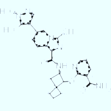 Cc1c(-c2ccc3c(C(=O)NC4CC5(CCC5)C4Oc4ncccc4C(N)=O)nc(C)n3c2)cnn1C